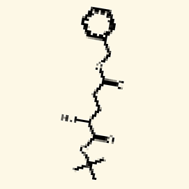 CC(C)(C)OC(=O)C(O)CCC(=O)OCc1ccccc1